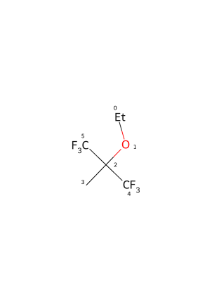 CCOC(C)(C(F)(F)F)C(F)(F)F